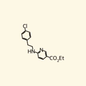 CCOC(=O)c1ccc(NCCc2ccc(Cl)cc2)nc1